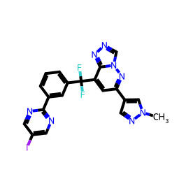 Cn1cc(-c2cc(C(F)(F)c3cccc(-c4ncc(I)cn4)c3)c3nncn3n2)cn1